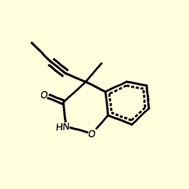 CC#CC1(C)C(=O)NOc2ccccc21